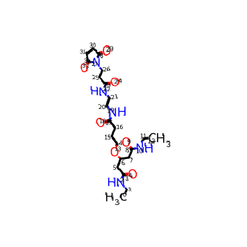 CCNC(=O)CC(CC(=O)NCC)OCCCC(=O)NCCNC(=O)CCN1C(=O)C=CC1=O